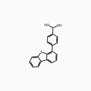 OB(O)c1ccc(-c2cccc3c2sc2ccccc23)cc1